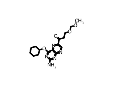 COCOCCC(=O)c1cnc2nc(N)nc(OC3CCCCC3)c2n1